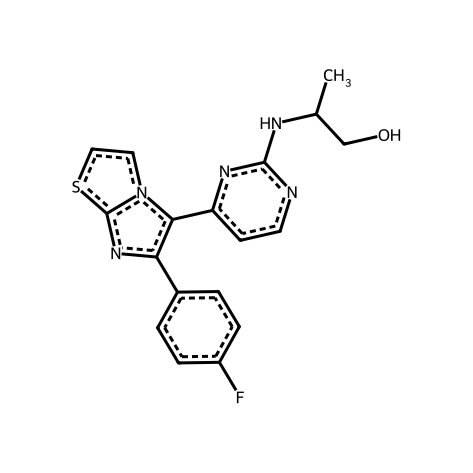 CC(CO)Nc1nccc(-c2c(-c3ccc(F)cc3)nc3sccn23)n1